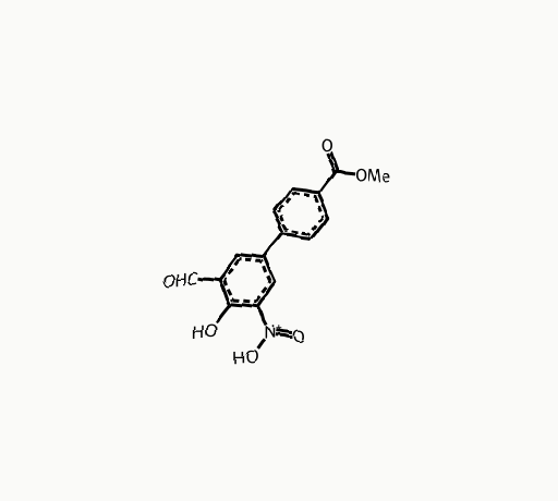 COC(=O)c1ccc(-c2cc(C=O)c(O)c([N+](=O)O)c2)cc1